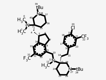 CN(C)[C@]1(C[C@@H]2CCc3c(CN(C)[C@]4(CCc5ccc(Cl)c(C(F)(F)F)c5)CCCN(C(C)(C)C)C4)cc(C(F)(F)F)cc32)CCCN(C(C)(C)C)C1